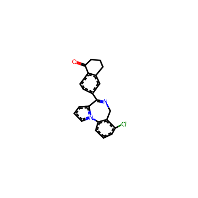 O=C1CCCc2cc(C3=NCc4c(Cl)cccc4-n4cccc43)ccc21